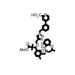 COC(=O)C(C)(C)C(OCc1cn(Cc2cccc(-c3ccnc(C(=O)O)c3)c2)nn1)c1ccc(C)c(CN2CC(C)Oc3ccccc3S2(O)O)c1